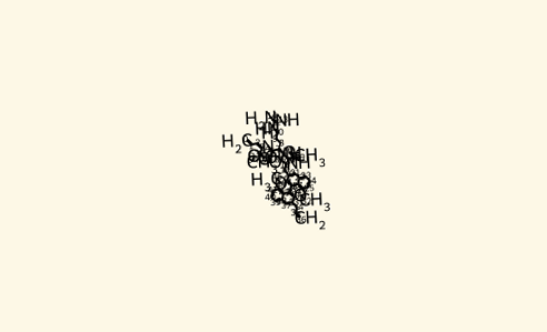 C=C/C=C(/NC(=O)[C@@H](CCCNC(=N)N)NC(=O)C(Cc1cc2ccccc2c(-c2c(OC)c(CC=C)cc3ccccc23)c1OC)NC(C)=O)C(=O)OC